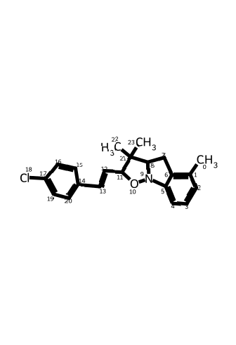 Cc1cccc2c1CC1N2OC(C=Cc2ccc(Cl)cc2)C1(C)C